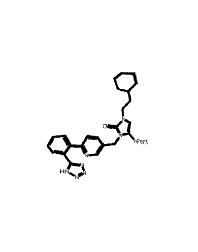 CCCCCc1cn(CCC2CCCCC2)c(=O)n1Cc1ccc(-c2ccccc2-c2nnn[nH]2)nc1